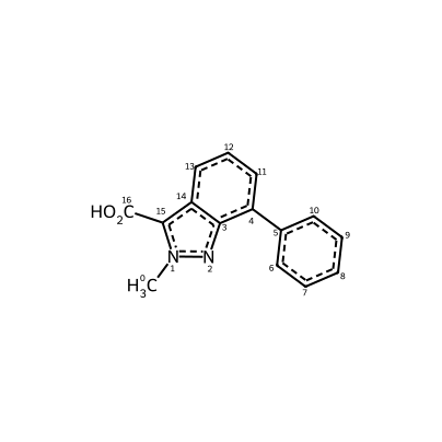 Cn1nc2c(-c3ccccc3)cccc2c1C(=O)O